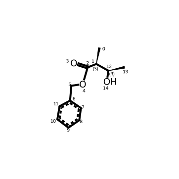 C[C@H](C(=O)OCc1ccccc1)[C@@H](C)O